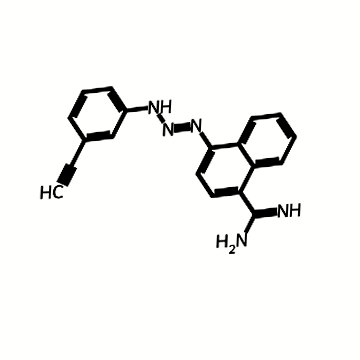 C#Cc1cccc(N/N=N/c2ccc(C(=N)N)c3ccccc23)c1